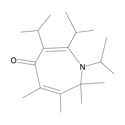 CC1=C(C)C(C)(C)N(C(C)C)C(C(C)C)=C(C(C)C)C1=O